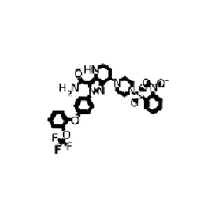 NC(=O)c1c2c(nn1-c1ccc(Oc3ccccc3OC(F)(F)F)cc1)[C@H](N1CCN(S(=O)(=O)c3ccccc3[N+](=O)[O-])CC1)CCN2